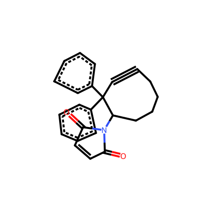 O=C1C=CC(=O)N1C1CCCCC#CC1(c1ccccc1)c1ccccc1